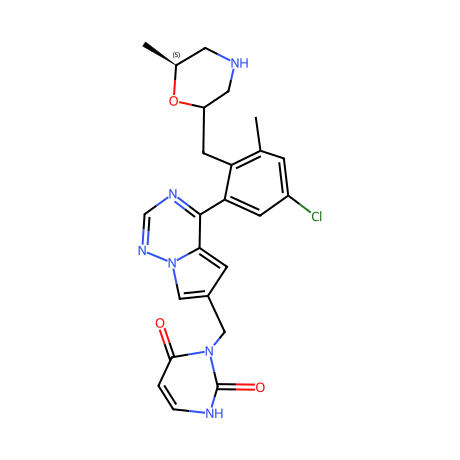 Cc1cc(Cl)cc(-c2ncnn3cc(Cn4c(=O)cc[nH]c4=O)cc23)c1CC1CNC[C@H](C)O1